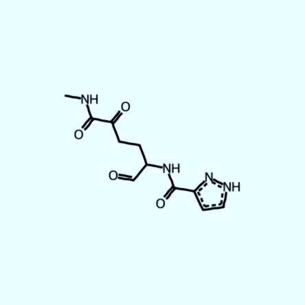 CNC(=O)C(=O)CCC(C=O)NC(=O)c1cc[nH]n1